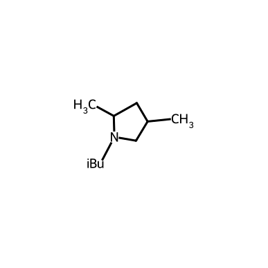 CCC(C)N1CC(C)CC1C